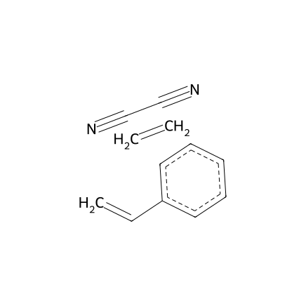 C=C.C=Cc1ccccc1.N#CC#N